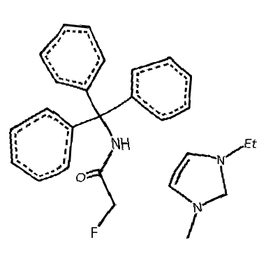 CCN1C=CN(C)C1.O=C(CF)NC(c1ccccc1)(c1ccccc1)c1ccccc1